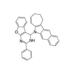 C1=Cc2c(c3cc4ccccc4cc3n2C2NC(c3ccccc3)=Nc3oc4ccccc4c32)CCC1